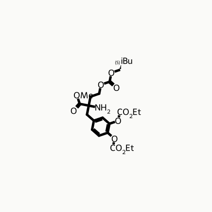 CCOC(=O)Oc1ccc(CC(N)(CCOC(=O)OC[C@@H](C)CC)C(=O)OC)cc1OC(=O)OCC